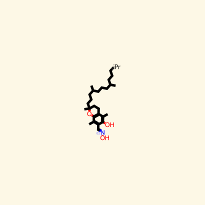 Cc1c(O)c(/C=N/O)c(C)c2c1CCC(C)(CCCC(C)CCCC(C)CCCC(C)C)O2